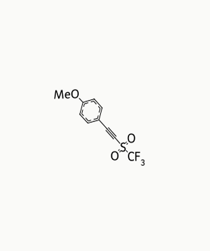 COc1ccc(C#CS(=O)(=O)C(F)(F)F)cc1